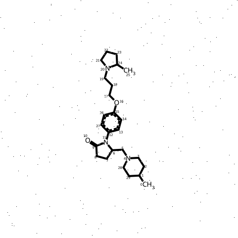 CC1CCN(CC2CCC(=O)N2c2ccc(OCCCN3CCCC3C)cc2)CC1